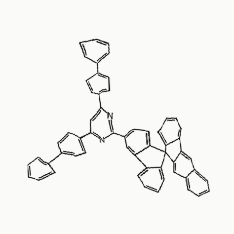 c1ccc(-c2ccc(-c3cc(-c4ccc(-c5ccccc5)cc4)nc(-c4ccc5c(c4)-c4ccccc4C54c5ccccc5-c5cc6ccccc6cc54)n3)cc2)cc1